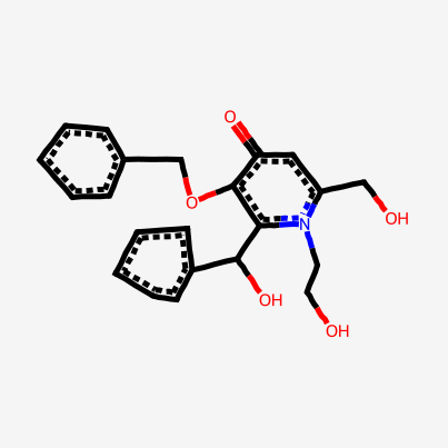 O=c1cc(CO)n(CCO)c(C(O)c2ccccc2)c1OCc1ccccc1